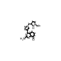 CC(C)N1C=CC(Cn2cc(-c3nc(N)nc4c(Cl)cccc34)nn2)N1